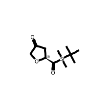 CC(C)(C)[Si](C)(C)C(=O)[C@@H]1CC(=O)CO1